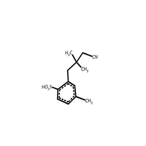 Cc1ccc(S(=O)(=O)O)c(CC(C)(C)CC#N)c1